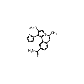 COc1cn2c(c1-c1cccs1)-c1cc(C(N)=O)ccc1CC2C